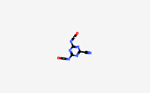 N#Cc1nc(N=C=O)nc(N=C=O)n1